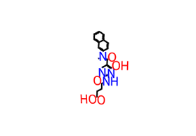 CN(C(=O)c1cnc(NC(=O)CCC(=O)O)nc1O)c1ccc2ccccc2c1